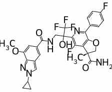 COc1cc(C(=O)NCC(O)(c2nc(-c3ccc(F)cc3)c3c(c2F)[C@@](C)(C(N)=O)CO3)C(F)(F)F)cc2cn(C3CC3)nc12